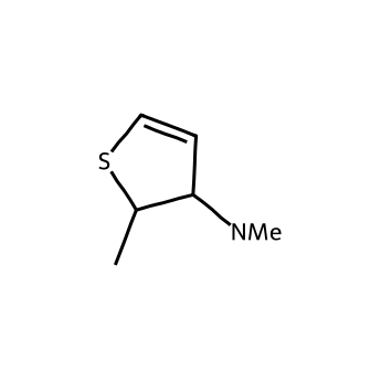 CNC1C=CSC1C